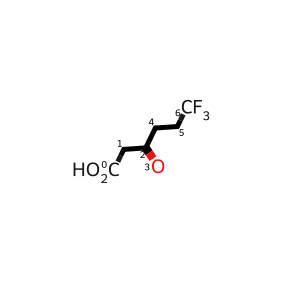 O=C(O)CC(=O)CCC(F)(F)F